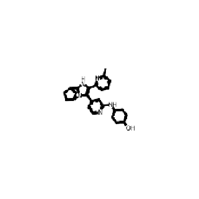 Cc1cccc(C2=C(c3ccnc(NC4CCC(O)CC4)c3)N3C4CCC(C4)C3N2)n1